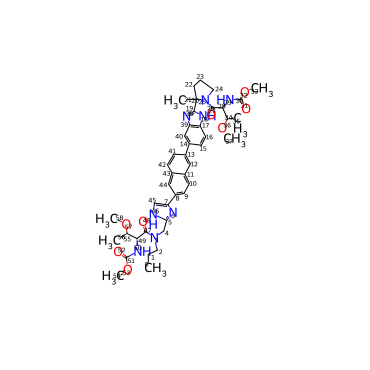 CCCN(Cc1nc(-c2ccc3cc(-c4ccc5[nH]c(C6(C)CCCN6C(=O)[C@@H](NC(=O)OC)[C@@H](C)OC)nc5c4)ccc3c2)c[nH]1)C(=O)[C@@H](NC(=O)OC)[C@@H](C)OC